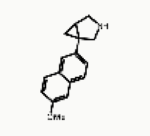 COc1ccc2cc([C@]34CNCC3C4)ccc2c1